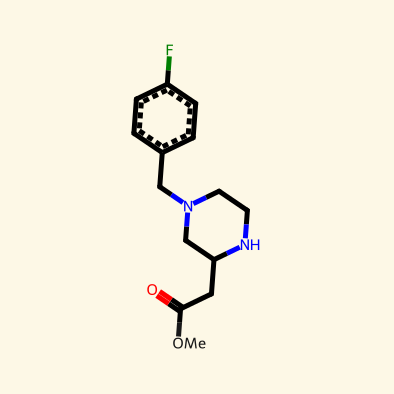 COC(=O)CC1CN(Cc2ccc(F)cc2)CCN1